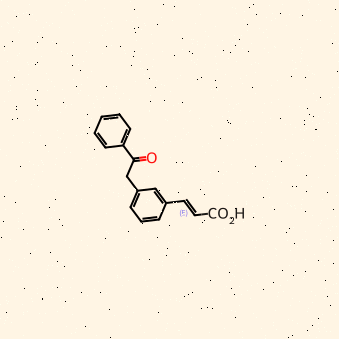 O=C(O)/C=C/c1cccc(CC(=O)c2ccccc2)c1